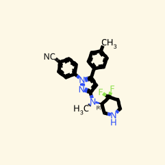 Cc1ccc(-c2cc(N(C)[C@@H]3CNCCC3(F)F)nn2-c2ccc(C#N)cc2)cc1